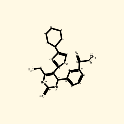 CCC1=C(c2nc(C3CCCCC3)cs2)C(c2cccc(C(=O)OC)c2)NC(=O)N1